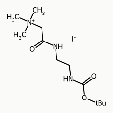 CC(C)(C)OC(=O)NCCNC(=O)C[N+](C)(C)C.[I-]